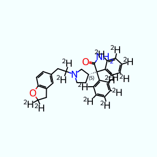 [2H]c1c([2H])c([2H])c(C(C(N)=O)(c2c([2H])c([2H])c([2H])c([2H])c2[2H])[C@@H]2CCN(C([2H])([2H])Cc3ccc4c(c3)CC([2H])([2H])O4)C2)c([2H])c1[2H]